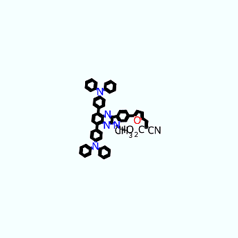 Cn1c2cc(-c3ccc(C=C(C#N)C(=O)O)o3)ccc2c2nc3c(-c4ccc(N(c5ccccc5)c5ccccc5)cc4)ccc(-c4ccc(N(c5ccccc5)c5ccccc5)cc4)c3nc21